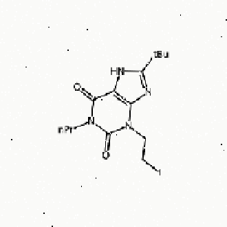 CCCn1c(=O)c2[nH]c(C(C)(C)C)nc2n(CCI)c1=O